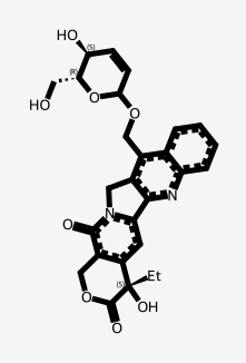 CC[C@@]1(O)C(=O)OCc2c1cc1n(c2=O)Cc2c-1nc1ccccc1c2COC1C=C[C@H](O)[C@@H](CO)O1